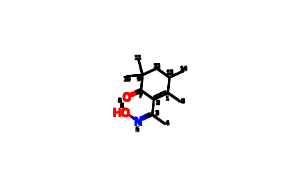 CC1=C(/C(C)=N\O)C(=O)C(C)(C)CC1C